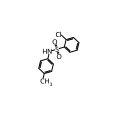 Cc1ccc(NS(=O)(=O)c2ccccc2Cl)cc1